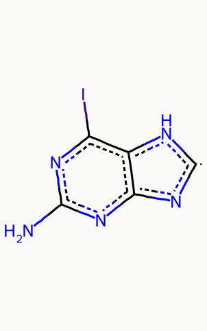 Nc1nc(I)c2[nH][c]nc2n1